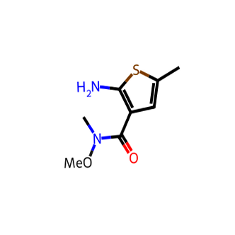 CON(C)C(=O)c1cc(C)sc1N